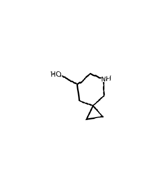 OC1CNCC2(CC2)C1